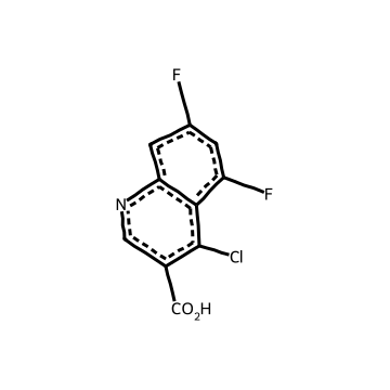 O=C(O)c1cnc2cc(F)cc(F)c2c1Cl